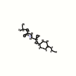 CCCC1CCC(OC(=O)/C=C/C(=O)OC(C)C)CC1